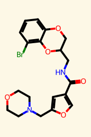 O=C(NCC1COc2cccc(Br)c2O1)c1coc(CN2CCOCC2)c1